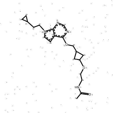 CC(=O)NCCOC1CC(COc2ncnc3c2ccn3CCC2CC2)C1